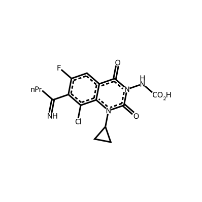 CCCC(=N)c1c(F)cc2c(=O)n(NC(=O)O)c(=O)n(C3CC3)c2c1Cl